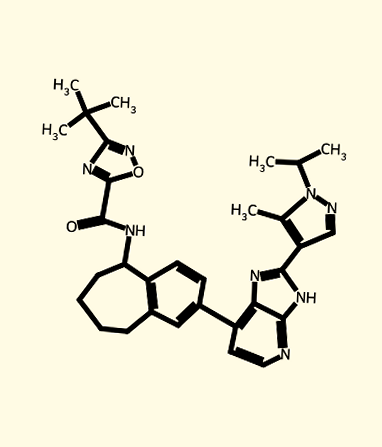 Cc1c(-c2nc3c(-c4ccc5c(c4)CCCCC5NC(=O)c4nc(C(C)(C)C)no4)ccnc3[nH]2)cnn1C(C)C